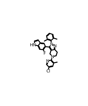 Cc1cc(Cl)cnc1N1CCc2nn(-c3c(C)cccc3C)c(-c3cc4cc[nH]c4cc3F)c2C1